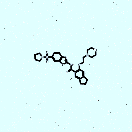 O=C(Nc1nc2ccc(S(=O)(=O)N3CCCC3)cc2s1)c1cc2c(cc1OCCN1CCOCC1)CCC2